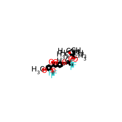 COc1ccc(-c2cc3ccc(OCC(C)(COC(=O)C(C)(CC(C)(C)C)C(C)(C)C)CC(F)(F)F)cc3oc2=O)c(OC(F)(F)F)c1